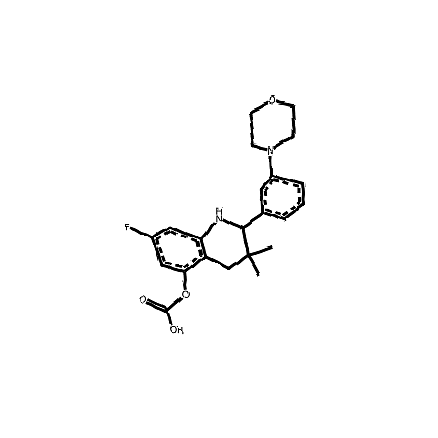 CC1(C)Cc2c(cc(F)cc2OC(=O)O)NC1c1cccc(N2CCOCC2)c1